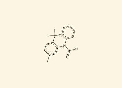 Cc1ccc2c(c1)N(C(=O)Cl)c1ccccc1C2(C)C